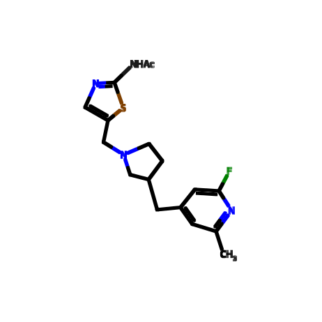 CC(=O)Nc1ncc(CN2CCC(Cc3cc(C)nc(F)c3)C2)s1